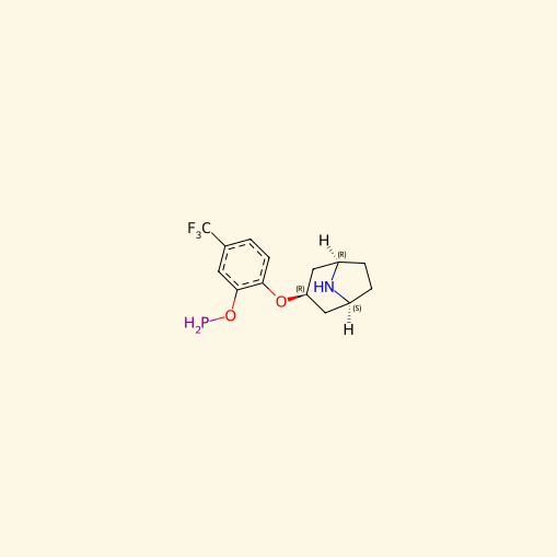 FC(F)(F)c1ccc(O[C@H]2C[C@H]3CC[C@@H](C2)N3)c(OP)c1